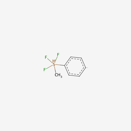 C[SH](F)(F)(F)c1cc[c]cc1